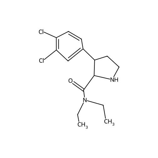 CCN(CC)C(=O)C1NCCC1c1ccc(Cl)c(Cl)c1